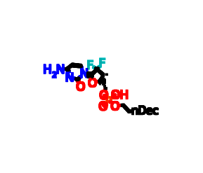 CCCCCCCCCCCCOP(=O)(O)OC[C@H]1[CH]C(F)(F)[C@H](n2ccc(N)nc2=O)O1